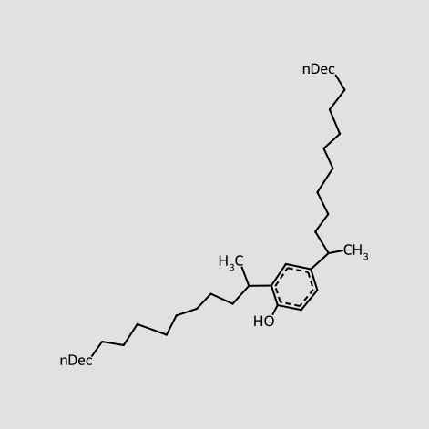 CCCCCCCCCCCCCCCCCCC(C)c1ccc(O)c(C(C)CCCCCCCCCCCCCCCCCC)c1